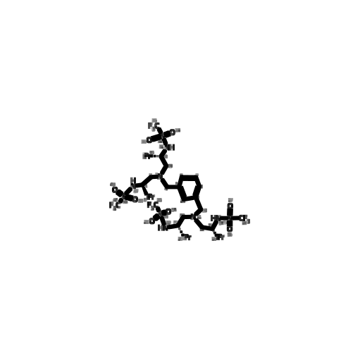 CC(C)[C@H](CN(Cc1cccc(CN(C[C@H](NS(=O)(=O)C(F)(F)F)C(C)C)C[C@@H](NS(=O)(=O)C(F)(F)F)C(C)C)c1)C[C@@H](NS(=O)(=O)C(F)(F)F)C(C)C)NS(=O)(=O)C(F)(F)F